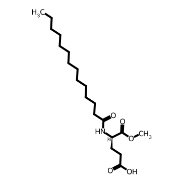 CCCCCCCCCCCCCC(=O)N[C@H](CCC(=O)O)C(=O)OC